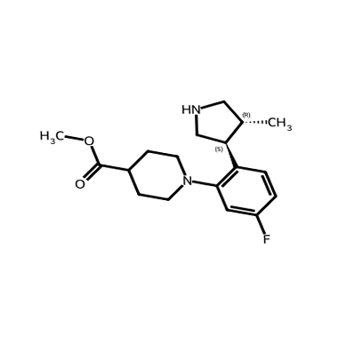 COC(=O)C1CCN(c2cc(F)ccc2[C@H]2CNC[C@@H]2C)CC1